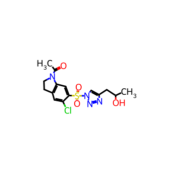 CC(=O)N1CCc2cc(Cl)c(S(=O)(=O)n3cc(CC(C)O)nn3)cc21